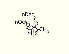 C=C(C)C(=O)OCCCCCCCCCCCC.C=COCCCCCCCC